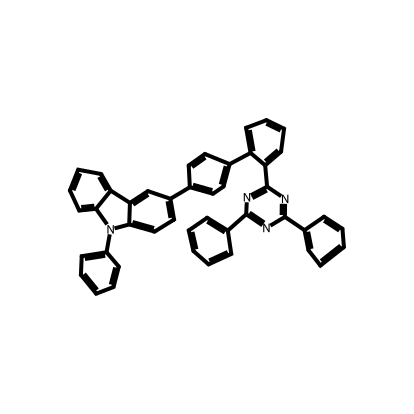 c1ccc(-c2nc(-c3ccccc3)nc(-c3ccccc3-c3ccc(-c4ccc5c(c4)c4ccccc4n5-c4ccccc4)cc3)n2)cc1